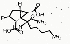 NCCCC[C@@](N)(C(N)=O)[C@@]12C(C(=O)O)[C@@H](F)C[C@@H]1[C@@H]2C(=O)O